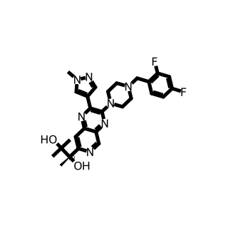 Cn1cc(-c2nc3cc([C@](C)(O)C(C)(C)O)ncc3nc2N2CCN(Cc3ccc(F)cc3F)CC2)cn1